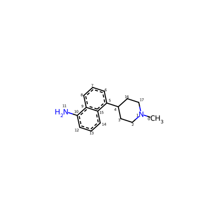 CN1CCC(c2cccc3c(N)cccc23)CC1